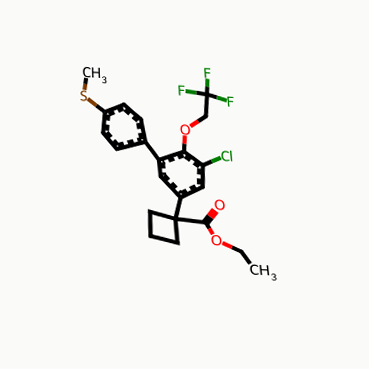 CCOC(=O)C1(c2cc(Cl)c(OCC(F)(F)F)c(-c3ccc(SC)cc3)c2)CCC1